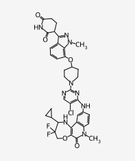 Cn1nc(C2CCC(=O)NC2=O)c2cccc(OC3CCN(c4ncc(Cl)c(Nc5ccc6c(c5)c5c(c(=O)n6C)OCC(F)(F)C(C6CC6)N5)n4)CC3)c21